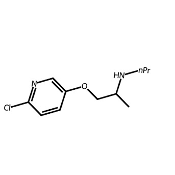 CCCNC(C)COc1ccc(Cl)nc1